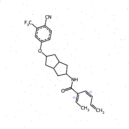 C=C/C=C\C(=C/C)C(=O)NC1CC2CC(Oc3ccc(C#N)c(C(F)(F)F)c3)CC2C1